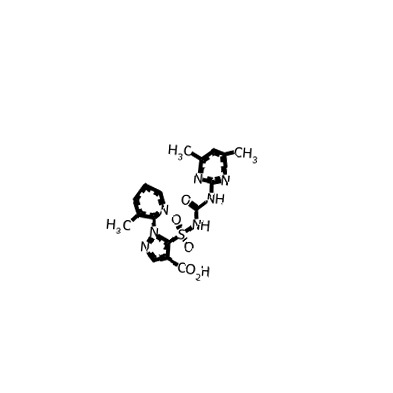 Cc1cc(C)nc(NC(=O)NS(=O)(=O)c2c(C(=O)O)cnn2-c2ncccc2C)n1